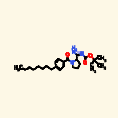 CCCCCCCCc1ccc(C(=O)N2CCCC2/C(N)=N\C(=O)OC(C)(C)C)cc1